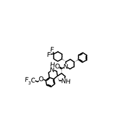 O=C([C@@H]1CNC[C@]12CNCc1c(OCC(F)(F)F)cccc12)N1CC[C@@H](c2ccccc2)C[C@H]1C1CCC(F)(F)CC1